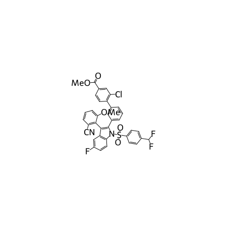 COC(=O)c1ccc(-c2cccc(-c3c(-c4c(C#N)cccc4OC)c4cc(F)ccc4n3S(=O)(=O)c3ccc(C(F)F)cc3)c2)c(Cl)c1